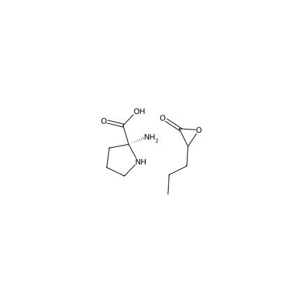 CCCC1OC1=O.N[C@@]1(C(=O)O)CCCN1